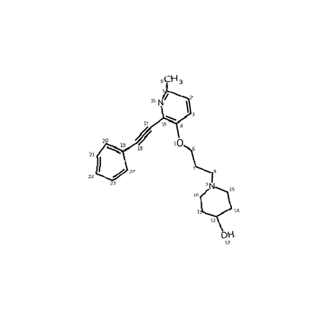 Cc1ccc(OCCCN2CCC(O)CC2)c(C#Cc2ccccc2)n1